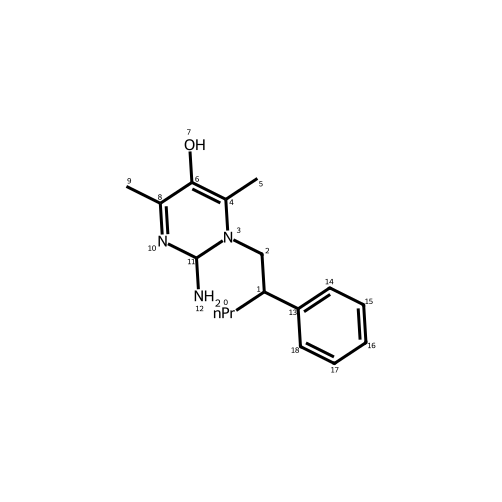 CCCC(CN1C(C)=C(O)C(C)=NC1N)c1ccccc1